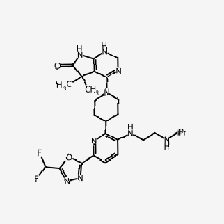 CC(C)NCCNc1ccc(-c2nnc(C(F)F)o2)nc1C1CCN(C2=NCNC3=C2C(C)(C)C(=O)N3)CC1